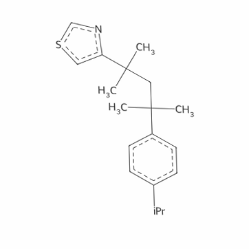 CC(C)c1ccc(C(C)(C)CC(C)(C)c2cscn2)cc1